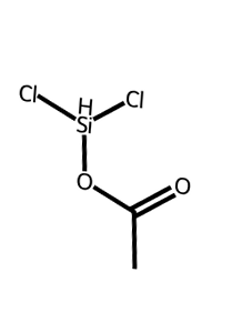 CC(=O)O[SiH](Cl)Cl